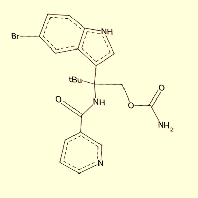 CC(C)(C)C(COC(N)=O)(NC(=O)c1cccnc1)c1c[nH]c2ccc(Br)cc12